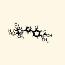 CN(C(=O)O)c1ccc(-c2cc(B3OC(C)(C)C(C)(C)O3)cs2)c(Cl)c1